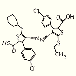 CCSc1sc(C(=O)O)c(-c2ccc(Cl)cc2)c1C#N.N#Cc1c(SC2CCCCC2)sc(C(=O)O)c1-c1ccc(Cl)cc1